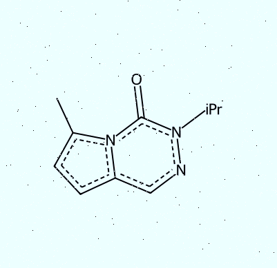 Cc1ccc2cnn(C(C)C)c(=O)n12